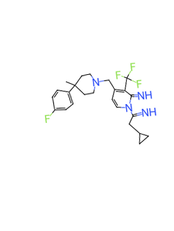 CC1(c2ccc(F)cc2)CCN(Cc2ccn(C(=N)CC3CC3)c(=N)c2C(F)(F)F)CC1